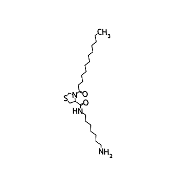 CCCCCCCCCCCCC(=O)N1CSCC1C(=O)NCCCCCCCN